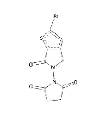 O=C1c2sc(Br)cc2CN1N1C(=O)CCC1=O